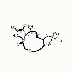 CC/C=C(\C)[C@@H]1[C@@H](C)/C=C/C(O[Si](C)(C)C(C)(C)C)CCCCCC(=O)N1C